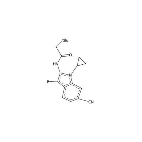 CC(C)(C)CC(=O)Nc1c(F)c2ccc(C#N)cc2n1C1CC1